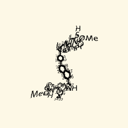 COC(=O)N[C@H](C(=O)N(CCS)Cc1ncc(-c2ccc(-c3ccc4cc(-c5c[nH]c([C@@H]6CC7(CC7)CN6C(=O)[C@@H](NC(=O)OC)C(C)C)n5)ccc4c3)cc2)[nH]1)C(C)C